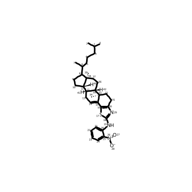 CC(C)CCCC(C)C1CC[C@H]2[C@@H]3CC=C4c5sc(Nc6ccccc6[N+](=O)[O-])nc5CC[C@]4(C)[C@H]3CC[C@]12C